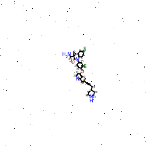 NC(=O)C1(C(=O)N(c2ccc(F)cc2)c2ccc(Oc3ccnc4cc(C#CCC5CCNCC5)sc34)c(F)c2)CC1